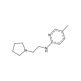 Cc1ccc(NCCN2CCCC2)nc1